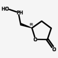 O=C1CC[C@H](CPO)O1